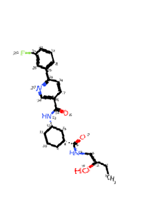 CCC(O)CNC(=O)[C@@H]1CCC[C@H](NC(=O)c2ccc(-c3cccc(F)c3)nc2)C1